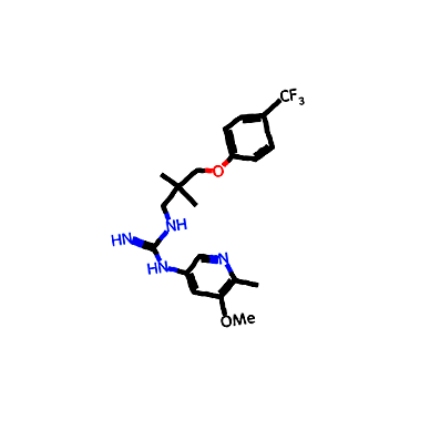 COc1cc(NC(=N)NCC(C)(C)COc2ccc(C(F)(F)F)cc2)cnc1C